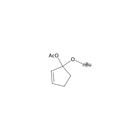 CCCCOC1(OC(C)=O)C=CCC1